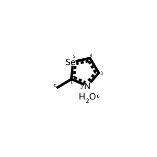 Cc1ncc[se]1.O